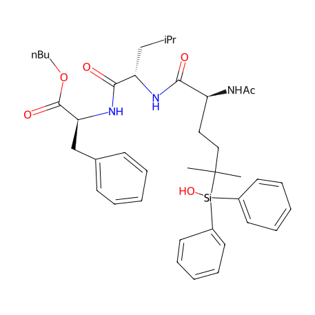 CCCCOC(=O)[C@H](Cc1ccccc1)NC(=O)[C@H](CC(C)C)NC(=O)[C@H](CCC(C)(C)[Si](O)(c1ccccc1)c1ccccc1)NC(C)=O